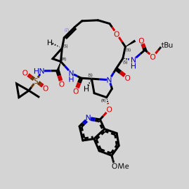 COc1ccc2c(O[C@@H]3C[C@H]4C(=O)N[C@]5(C(=O)NS(=O)(=O)C6(C)CC6)C[C@H]5/C=C\CCCO[C@@H](C)[C@H](NC(=O)OC(C)(C)C)C(=O)N4C3)nccc2c1